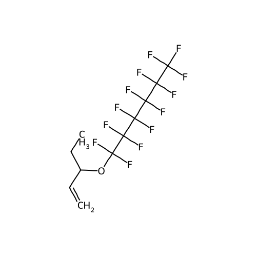 C=CC(CC)OC(F)(F)C(F)(F)C(F)(F)C(F)(F)C(F)(F)C(F)(F)F